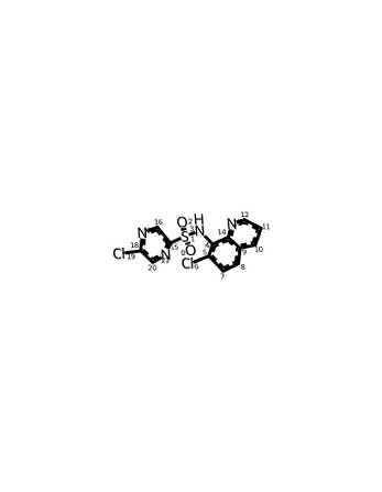 O=S(=O)(Nc1c(Cl)ccc2cccnc12)c1cnc(Cl)cn1